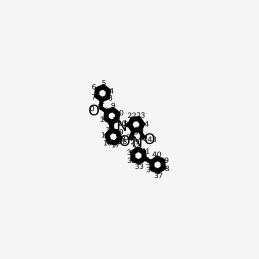 O=C(c1ccccc1)c1ccc2c(c1)c1ccccc1n2-c1cccc2c1C(=O)N(c1cccc(-c3ccccc3)c1)C2=O